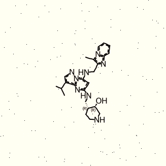 Cc1c(CNc2cc(NC[C@H]3CCNC[C@@H]3O)nc3c(C(C)C)cnn23)nc2ccccn12